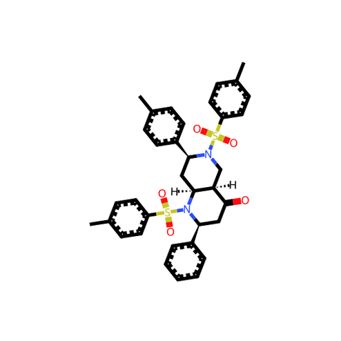 Cc1ccc([C@@H]2C[C@H]3[C@@H](CN2S(=O)(=O)c2ccc(C)cc2)C(=O)C[C@@H](c2ccccc2)N3S(=O)(=O)c2ccc(C)cc2)cc1